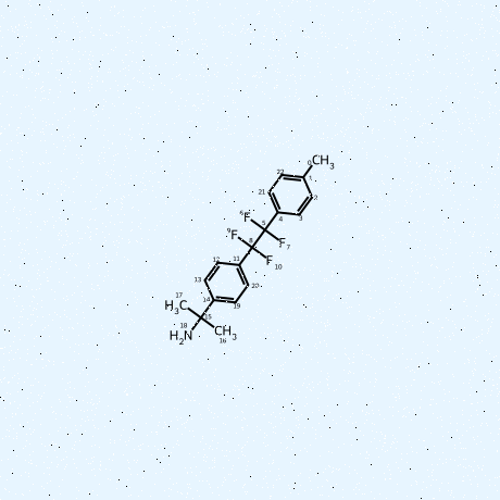 Cc1ccc(C(F)(F)C(F)(F)c2ccc(C(C)(C)N)cc2)cc1